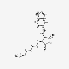 O=C(O)CCCCCCC1C(=O)CC(O)C1/C=C/c1ccc2[nH]ccc2c1